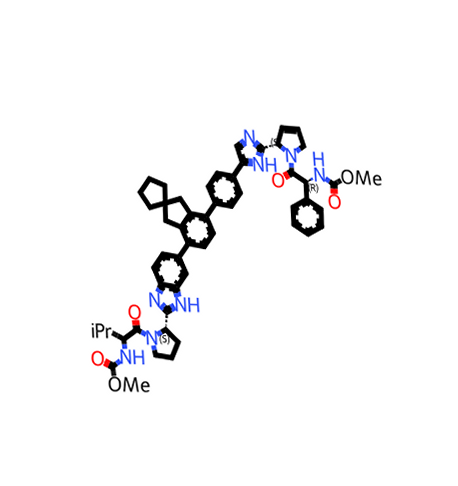 COC(=O)NC(C(=O)N1CCC[C@H]1c1nc2ccc(-c3ccc(-c4ccc(-c5cnc([C@@H]6C=CCN6C(=O)[C@H](NC(=O)OC)c6ccccc6)[nH]5)cc4)c4c3CC3(CCCC3)C4)cc2[nH]1)C(C)C